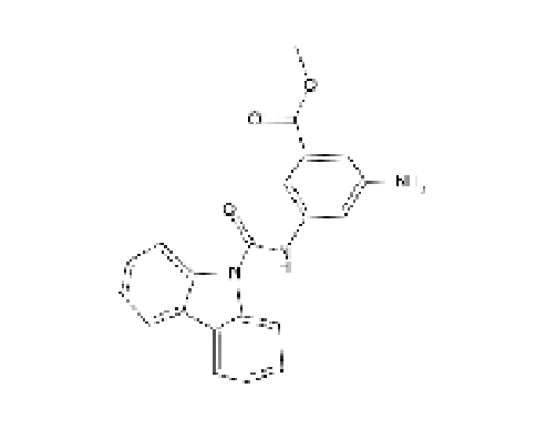 COC(=O)c1cc(N)cc(NC(=O)n2c3ccccc3c3ccccc32)c1